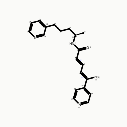 CCCC/C(=C\C=C\C(=O)N[C@H](C)CCCc1cccnc1)c1ccncc1